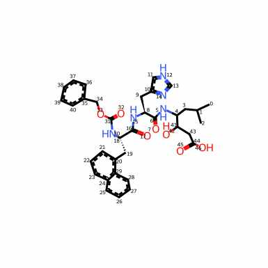 CC(C)CC(NC(=O)[C@H](Cc1c[nH]cn1)NC(=O)[C@H](Cc1cccc2ccccc12)NC(=O)OCc1ccccc1)C(O)CC(=O)O